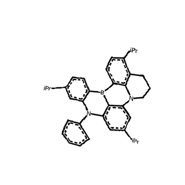 CC(C)c1ccc2c(c1)N(c1ccccc1)c1cc(C(C)C)cc3c1B2c1ccc(C(C)C)c2c1N3CCC2